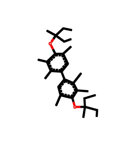 CCC(C)(CC)Oc1c(C)cc(-c2cc(C)c(OC(C)(CC)CC)c(C)c2C)c(C)c1C